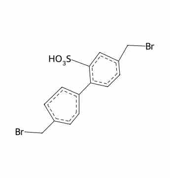 O=S(=O)(O)c1cc(CBr)ccc1-c1ccc(CBr)cc1